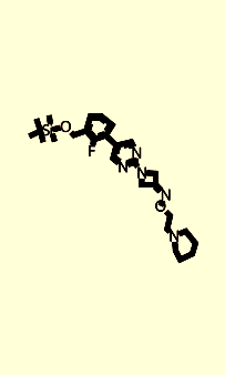 CC(C)(C)[Si](C)(C)OCc1cccc(-c2cnc(N3CC(=NOCCN4CCCCC4)C3)nc2)c1F